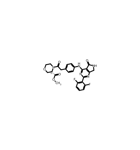 COC(=O)[C@@H]1COCCN1C(=O)Cc1ccc(Nc2nc(-c3c(F)cccc3F)nc3c2C(=O)NC3)cc1